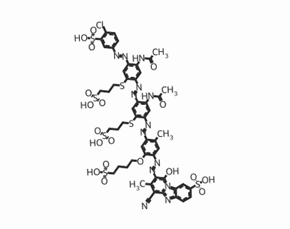 CC(=O)Nc1cc(N=Nc2cc(SCCCS(=O)(=O)O)c(N=Nc3cc(OCCCCS(=O)(=O)O)c(N=Nc4c(C)c(C#N)c5nc6ccc(S(=O)(=O)O)cc6n5c4O)cc3C)cc2NC(C)=O)c(SCCCS(=O)(=O)O)cc1N=Nc1ccc(Cl)c(S(=O)(=O)O)c1